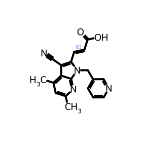 Cc1cc(C)c2c(C#N)c(/C=C/C(=O)O)n(Cc3cccnc3)c2n1